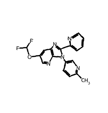 Cc1ccc(-n2c(-c3ccccn3)nc3cc(OC(F)F)cnc32)cn1